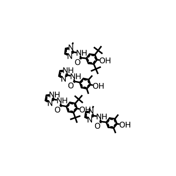 CC(C)(C)c1cc(C(=O)Nc2ncc[nH]2)cc(C(C)(C)C)c1O.Cc1cc(C(=O)Nc2ncc[nH]2)cc(C)c1O.Cc1cc(C(=O)Nc2nccn2C)cc(C)c1O.Cn1ccnc1NC(=O)c1cc(C(C)(C)C)c(O)c(C(C)(C)C)c1